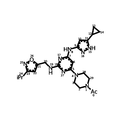 CC(=O)N1CCN(c2cc(Nc3cc(C4CC4)[nH]n3)nc(NCc3cc(C(C)C)no3)n2)CC1